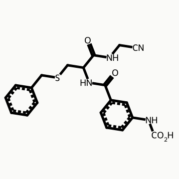 N#CCNC(=O)C(CSCc1ccccc1)NC(=O)c1cccc(NC(=O)O)c1